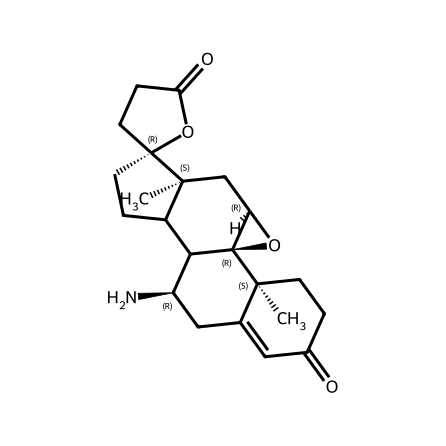 C[C@]12CCC(=O)C=C1C[C@@H](N)C1C3CC[C@@]4(CCC(=O)O4)[C@@]3(C)C[C@H]3O[C@@]132